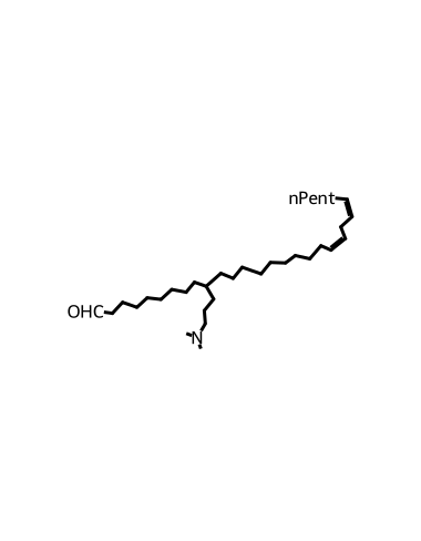 CCCCC/C=C\C/C=C\CCCCCCCCCC(CCCCCCCCC=O)CCCN(C)C